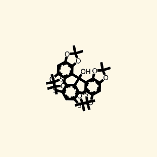 CC1(C)Oc2cc3c(c(C(O)(c4c5c(cc6c4OC(C)(C)O6)OC(C)(C)O5)c4c5c(cc6c4SC(C)(C)S6)SC(C)(C)S5)c2O1)OC(C)(C)O3